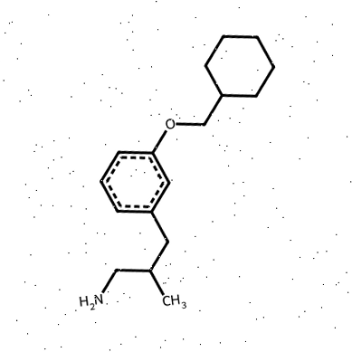 CC(CN)Cc1cccc(OCC2CCCCC2)c1